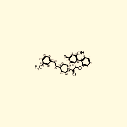 O=C(COc1ccccc1-c1ccc(F)cc1O)N1CCC(CCc2cccc(C(F)(F)F)c2)CC1